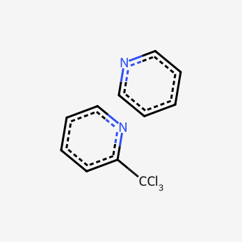 ClC(Cl)(Cl)c1ccccn1.c1ccncc1